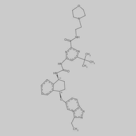 CCc1nnc2ccc(O[C@@H]3CC[C@H](NC(=O)Nc4cc(C(C)(C)C)nc(C(=O)NCCN5CCOCC5)n4)c4ccccc43)cn12